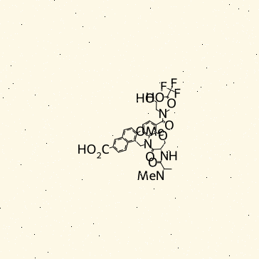 CN[C@@H](C)C(=O)N[C@H]1COc2c(C(=O)N(C)CCO)cccc2N(Cc2c(OC)ccc3cc(C(=O)O)ccc23)C1=O.O=C(O)C(F)(F)F